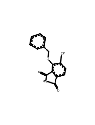 N#Cc1ccc2c(c1OCc1ccccc1)C(=O)NC2=O